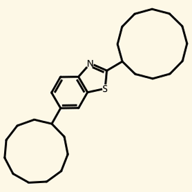 c1cc2nc(C3CCCCCCCCCCC3)sc2cc1C1CCCCCCCCCC1